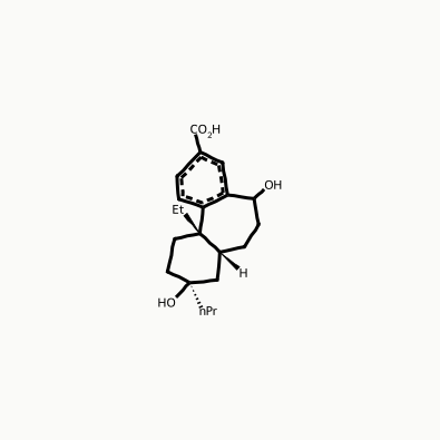 CCC[C@]1(O)CC[C@]2(CC)c3ccc(C(=O)O)cc3C(O)CC[C@@H]2C1